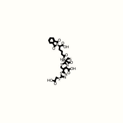 O=C(O)CSc1nnc(C2=C(C(=O)O)N3C(=O)[C@@](C=S)(NC(=O)CCCC(C(=O)O)N4C(=O)c5ccccc5C4=O)[C@@H]3SC2)s1